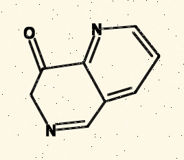 O=C1CN=Cc2cccnc21